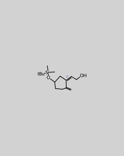 C=C1CCC(O[Si](C)(C)C(C)(C)C)C/C1=C/CO